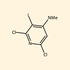 CNc1cc(Cl)nc(Cl)c1I